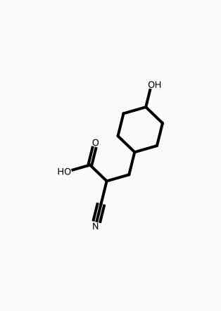 N#CC(CC1CCC(O)CC1)C(=O)O